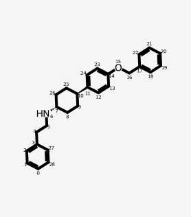 c1ccc(CCN[C@H]2CC[C@H](c3ccc(OCc4ccccc4)cc3)CC2)cc1